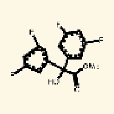 COC(=O)C(O)(c1cc(F)cc(F)c1)c1cc(F)cc(F)c1